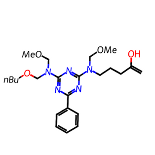 C=C(O)CCCN(COC)c1nc(-c2ccccc2)nc(N(COC)COCCCC)n1